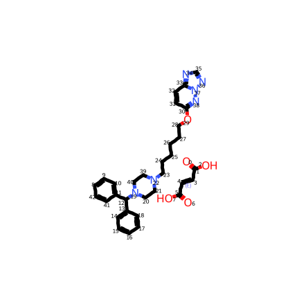 O=C(O)/C=C/C(=O)O.c1ccc(C(c2ccccc2)N2CCN(CCCCCCOc3ccc4ncnn4n3)CC2)cc1